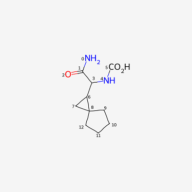 NC(=O)C(NC(=O)O)C1CC12CCCC2